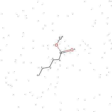 CCCCCC(=O)[O][U]